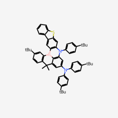 CC(C)(C)c1ccc(N(c2ccc(C(C)(C)C)cc2)c2cc3c4c(c2)C(C)(C)c2ccc(C(C)(C)C)cc2B4c2cc4c(cc2N3c2ccc(C(C)(C)C)cc2)sc2ccccc24)cc1